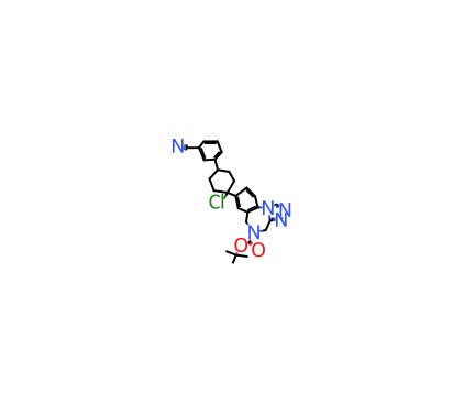 CC(C)(C)OC(=O)N1Cc2cc(C3(Cl)CCC(c4cccc(C#N)c4)CC3)ccc2-n2cnnc2C1